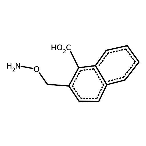 NOCc1ccc2ccccc2c1C(=O)O